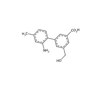 Cc1ccc(-c2cc(CO)cc(C(=O)O)c2)c(N)c1